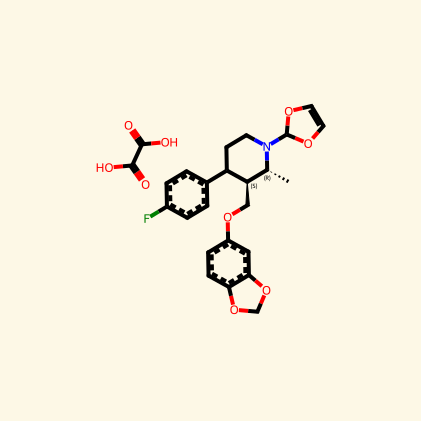 C[C@@H]1[C@@H](COc2ccc3c(c2)OCO3)C(c2ccc(F)cc2)CCN1C1OC=CO1.O=C(O)C(=O)O